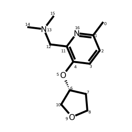 Cc1ccc(O[C@@H]2CCOC2)c(CN(C)C)n1